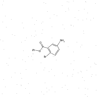 CC(C)OC(=O)c1cc(N)ccc1Br